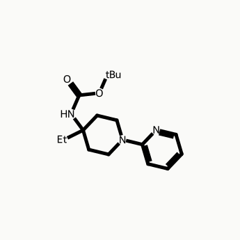 CCC1(NC(=O)OC(C)(C)C)CCN(c2ccccn2)CC1